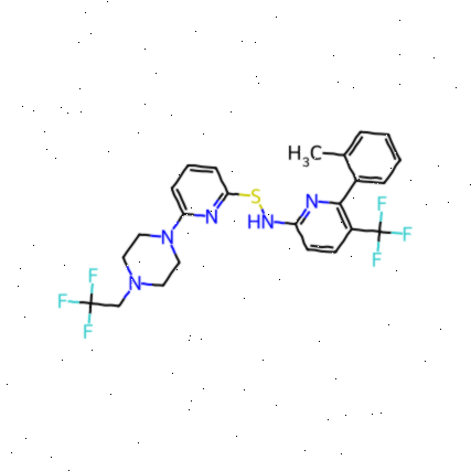 Cc1ccccc1-c1nc(NSc2cccc(N3CCN(CC(F)(F)F)CC3)n2)ccc1C(F)(F)F